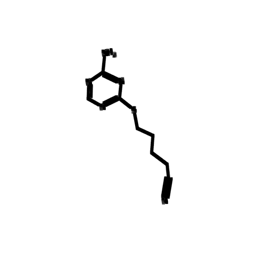 N#CCCCCSc1ncnc(N)n1